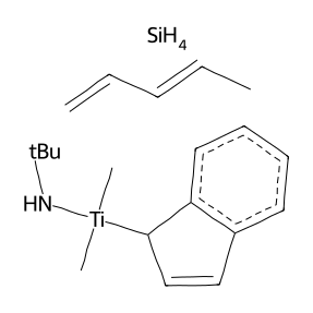 C=CC=CC.CC(C)(C)[NH][Ti]([CH3])([CH3])[CH]1C=Cc2ccccc21.[SiH4]